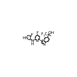 C[C@](O)(c1ccc2ncc(-c3cc(F)cc(N[C@H]4CNC[C@@H]4F)n3)n2c1)C(F)(F)F